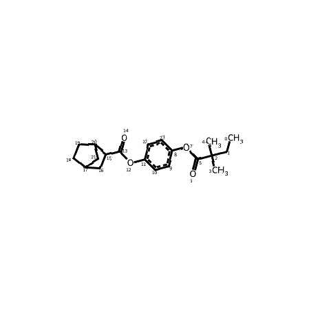 CCC(C)(C)C(=O)Oc1ccc(OC(=O)C2CC3CCC2C3)cc1